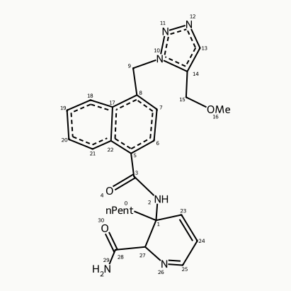 CCCCCC1(NC(=O)c2ccc(Cn3nncc3COC)c3ccccc23)C=CC=NC1C(N)=O